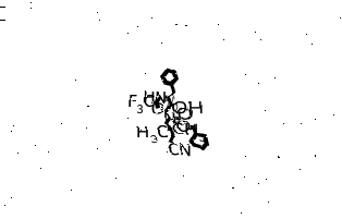 CC(C)(CCC#N)CN(C[C@@H](O)[C@H](Cc1ccccc1)NC(=O)C(F)(F)F)C(=O)OCc1ccccc1